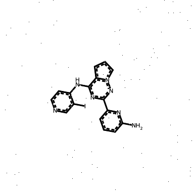 Nc1cccc(-c2nc(Nc3ccncc3I)c3cccn3n2)n1